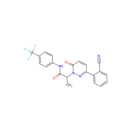 CC(C(=O)Nc1ccc(C(F)(F)F)cc1)n1nc(-c2ccccc2C#N)ccc1=O